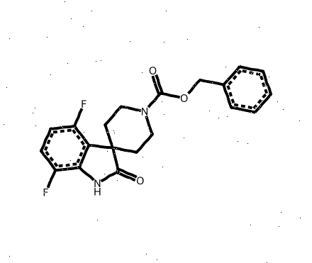 O=C(OCc1ccccc1)N1CCC2(CC1)C(=O)Nc1c(F)ccc(F)c12